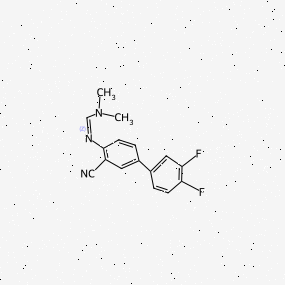 CN(C)/C=N\c1ccc(-c2ccc(F)c(F)c2)cc1C#N